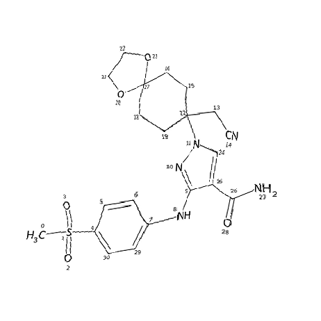 CS(=O)(=O)c1ccc(Nc2nn(C3(CC#N)CCC4(CC3)OCCO4)cc2C(N)=O)cc1